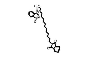 CCN(CCCCCCCCCCCCN1C(=O)c2ccccc2C1=O)S(=O)(=O)c1ccccc1[N+](=O)[O-]